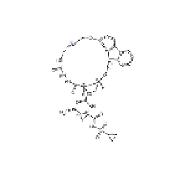 C=C[C@@H]1C[C@]1(NC(=O)[C@@H]1C[C@@H]2C[C@H]1C(=O)NNC(=O)NC/C=C/COc1ccc3c(c1)/C(=N\O2)c1ccccc1-3)C(=O)NS(=O)(=O)C1CC1